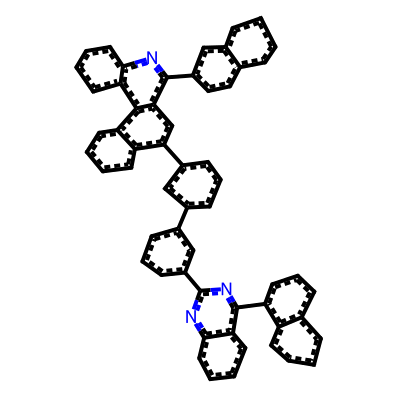 c1cc(-c2cccc(-c3cc4c(-c5ccc6ccccc6c5)nc5ccccc5c4c4ccccc34)c2)cc(-c2nc(-c3cccc4ccccc34)c3ccccc3n2)c1